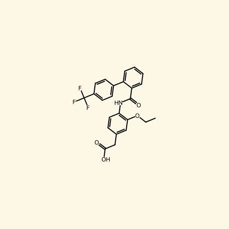 CCOc1cc(CC(=O)O)ccc1NC(=O)c1ccccc1-c1ccc(C(F)(F)F)cc1